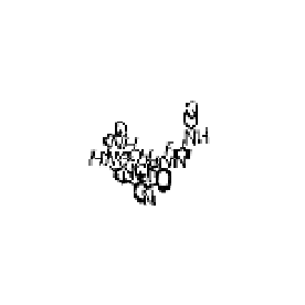 COc1nc(-c2ccnc(-c3cccc(Nc4nccc(CNC5CCOCC5)c4F)c3Cl)c2Cl)ccc1CNCC1CCC(=O)N1